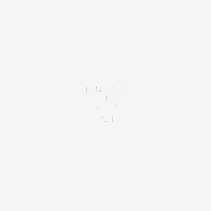 NOP(N)(=O)O